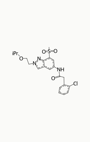 CC(C)OCCn1cc2cc(NC(=O)Cc3ccccc3Cl)cc(S(C)(=O)=O)c2n1